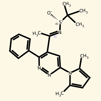 C/C(=N\[S@+]([O-])C(C)(C)C)c1cc(-n2c(C)ccc2C)nnc1-c1ccccc1